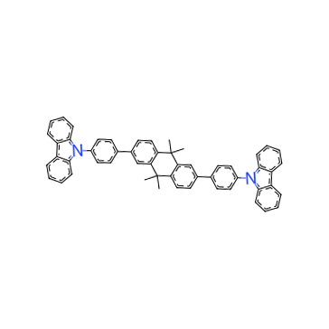 CC1(C)c2ccc(-c3ccc(-n4c5ccccc5c5ccccc54)cc3)cc2C(C)(C)c2ccc(-c3ccc(-n4c5ccccc5c5ccccc54)cc3)cc21